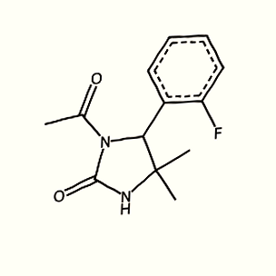 CC(=O)N1C(=O)NC(C)(C)C1c1ccccc1F